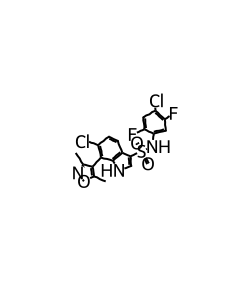 Cc1noc(C)c1-c1c(Cl)ccc2c(S(=O)(=O)Nc3cc(F)c(Cl)cc3F)c[nH]c12